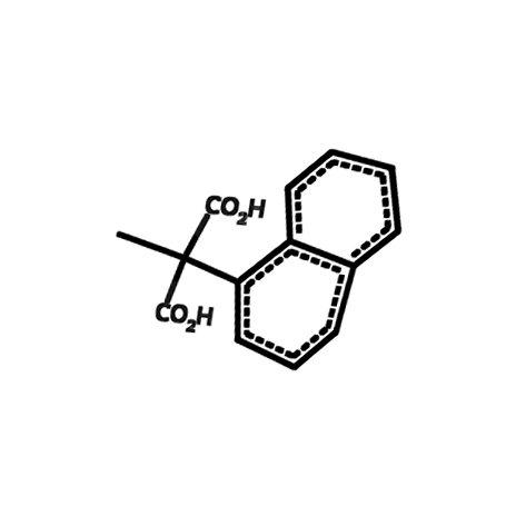 CC(C(=O)O)(C(=O)O)c1cccc2ccccc12